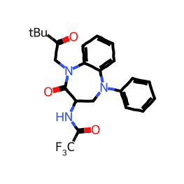 CC(C)(C)C(=O)CN1C(=O)C(NC(=O)C(F)(F)F)CN(c2ccccc2)c2ccccc21